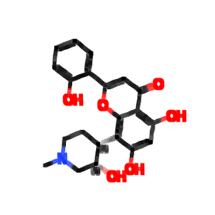 CN1CC[C@H](c2c(O)cc(O)c3c(=O)cc(-c4ccccc4O)oc23)[C@H](O)C1